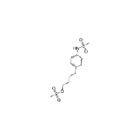 CS(=O)(=O)Nc1ccc(CCCCOS(C)(=O)=O)cc1